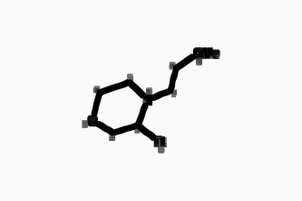 CCC1COCCN1CCOC